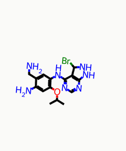 CC(C)Oc1cc(N)c(CN)cc1Nc1ncnc2c1C(Br)NN2